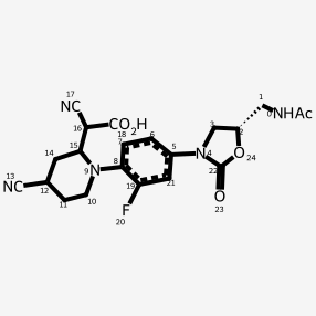 CC(=O)NC[C@H]1CN(c2ccc(N3CCC(C#N)CC3C(C#N)C(=O)O)c(F)c2)C(=O)O1